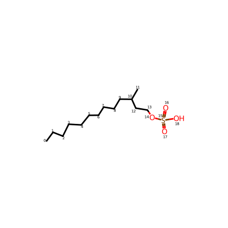 CCCCCCCCCCC(C)CCOS(=O)(=O)O